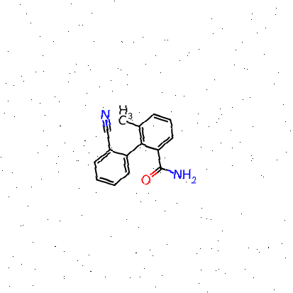 Cc1cccc(C(N)=O)c1-c1ccccc1C#N